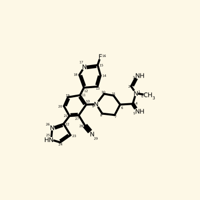 CN(C=N)C(=N)C1CCN(c2c(-c3ccc(F)nc3)ccc(-c3cc[nH]n3)c2C#N)CC1